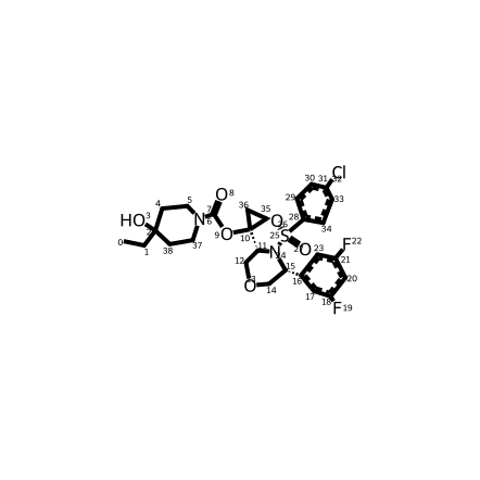 CCC1(O)CCN(C(=O)OC2([C@H]3COC[C@@H](c4cc(F)cc(F)c4)N3S(=O)(=O)c3ccc(Cl)cc3)CC2)CC1